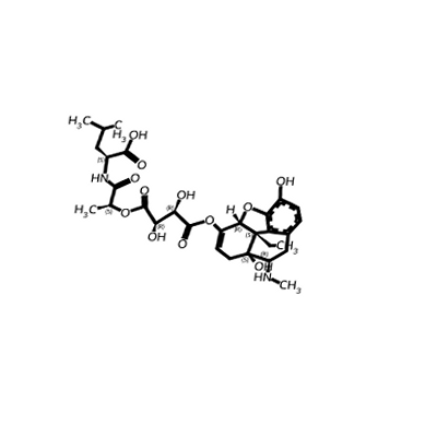 CC[C@]12c3c4ccc(O)c3O[C@H]1C(OC(=O)[C@H](O)[C@@H](O)C(=O)O[C@@H](C)C(=O)N[C@@H](CC(C)C)C(=O)O)=CC[C@@]2(O)[C@H](NC)C4